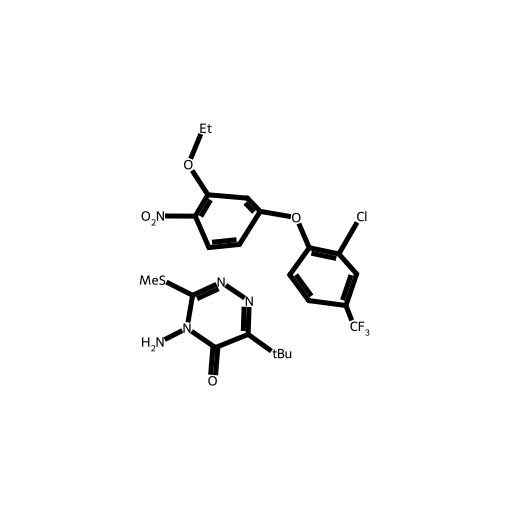 CCOc1cc(Oc2ccc(C(F)(F)F)cc2Cl)ccc1[N+](=O)[O-].CSc1nnc(C(C)(C)C)c(=O)n1N